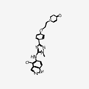 Cn1nc(-c2ccc(OCCN3C=CC(=O)CC3)cc2)nc1Nc1ccc2[nH]ncc2c1Cl